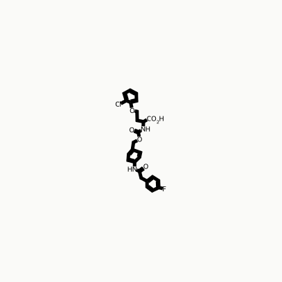 O=C(Cc1ccc(F)cc1)Nc1ccc(COC(=O)NC(CCOc2ccccc2Cl)C(=O)O)cc1